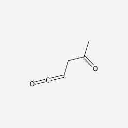 CC(=O)CC=C=O